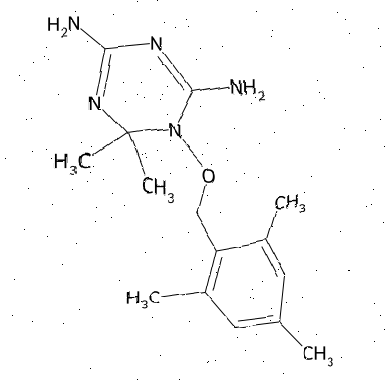 Cc1cc(C)c(CON2C(N)=NC(N)=NC2(C)C)c(C)c1